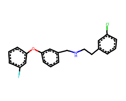 Fc1cccc(Oc2cccc(CNCCc3cccc(Cl)c3)c2)c1